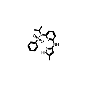 Cc1cc(Nc2cccc(N(C(C)C)S(=O)(=O)c3ccccc3)n2)n[nH]1